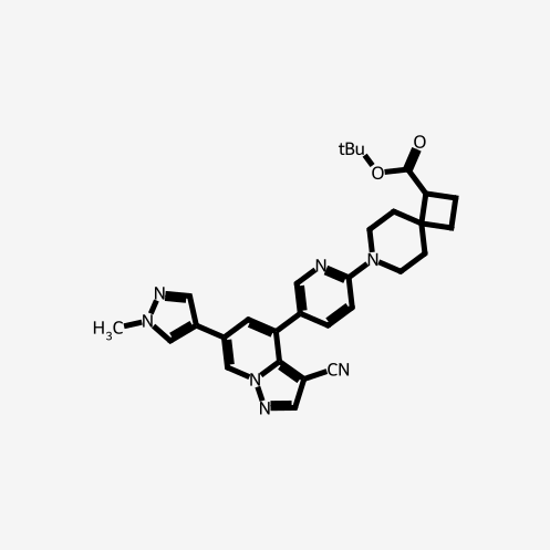 Cn1cc(-c2cc(-c3ccc(N4CCC5(CCC5C(=O)OC(C)(C)C)CC4)nc3)c3c(C#N)cnn3c2)cn1